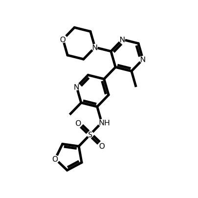 Cc1ncc(-c2c(C)ncnc2N2CCOCC2)cc1NS(=O)(=O)c1ccoc1